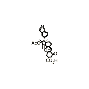 CC(=O)OC1(C)C[C@H]2[C@@H]3OC4=C(C=C3CC[C@]2(C)[C@H]1c1ccc2cnccc2c1)C(=O)CC(C(=O)O)C4